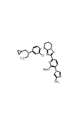 COc1nc(-c2nc3n(n2)CCC[C@H]3c2ccc(N(CC3CC3)CC(F)(F)F)cc2Cl)ccc1-n1cnc(C)c1